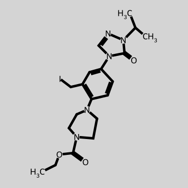 CCOC(=O)N1CCN(c2ccc(-n3cnn(C(C)C)c3=O)cc2CI)CC1